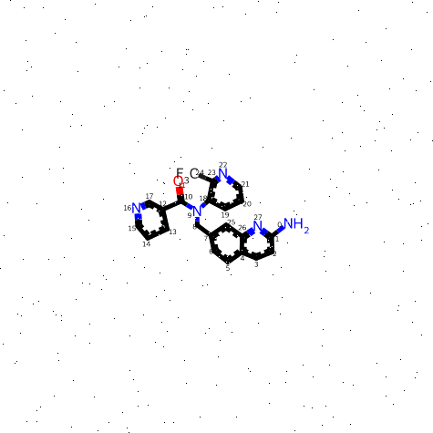 Nc1ccc2ccc(CN(C(=O)c3cccnc3)c3cccnc3C(F)(F)F)cc2n1